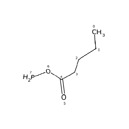 CCCCC(=O)OP